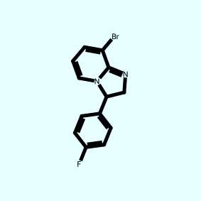 Fc1ccc(C2CN=C3C(Br)=CC=CN32)cc1